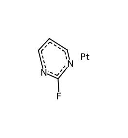 Fc1ncccn1.[Pt]